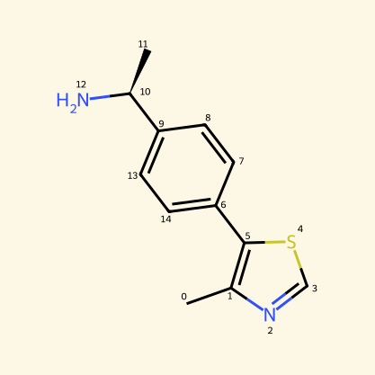 Cc1ncsc1-c1ccc([C@H](C)N)cc1